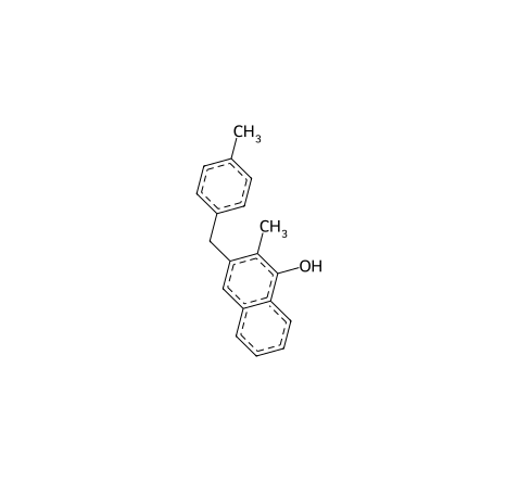 Cc1ccc(Cc2cc3ccccc3c(O)c2C)cc1